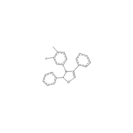 Cc1ccc(N2C(c3ccccc3)=COC2c2ccccc2)cc1F